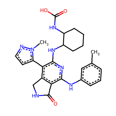 Cc1cccc(Nc2nc(NC3CCCCC3NC(=O)O)c(-c3ccnn3C)c3c2C(=O)NC3)c1